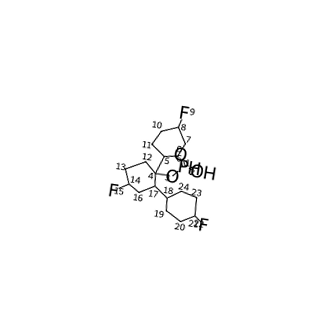 O=[PH](O)OC1(C2CCC(F)CC2)CCC(F)CC1C1CCC(F)CC1